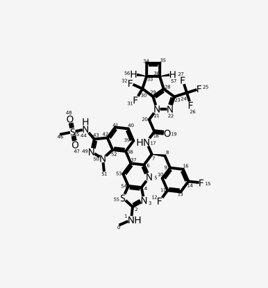 CNc1nc2nc([C@H](Cc3cc(F)cc(F)c3)NC(=O)Cn3nc(C(F)(F)F)c4c3C(F)(F)[C@@H]3C=C[C@H]43)c(-c3cccc4c(NS(C)(=O)=O)nn(C)c34)cc2s1